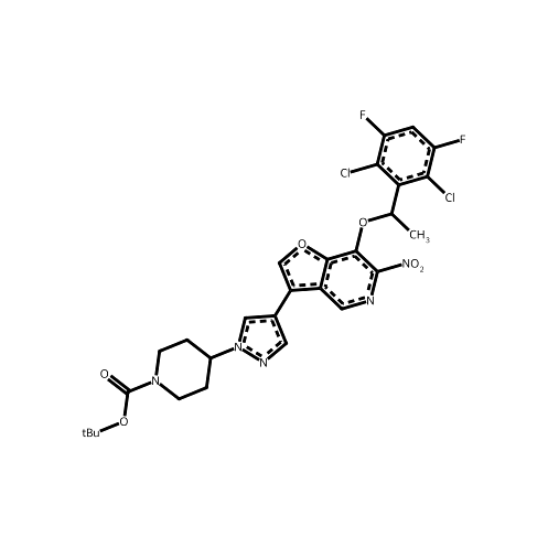 CC(Oc1c([N+](=O)[O-])ncc2c(-c3cnn(C4CCN(C(=O)OC(C)(C)C)CC4)c3)coc12)c1c(Cl)c(F)cc(F)c1Cl